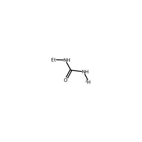 [2H]NC(=O)NCC